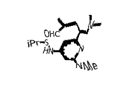 CNc1cc(NSC(C)C)cc(C(/C=C(/C)C=O)=C/N(C)C)n1